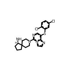 N[C@@H]1CCCC12CCN(c1ncc(Sc3cc(Cl)ccc3Cl)c3nccn13)CC2